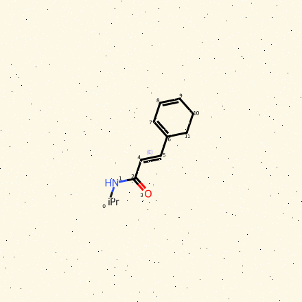 CC(C)NC(=O)/C=C/C1=CC=CCC1